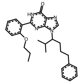 CCCOc1ccccc1-c1nc2c(ncn2C(CCCc2ccccc2)C(C)C)c(=O)[nH]1